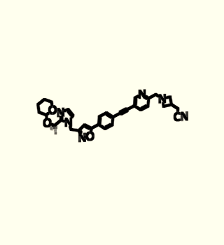 C[C@H](OC1CCCCO1)c1nccn1Cc1cc(-c2ccc(C#Cc3ccc(CN4CC(CC#N)C4)nc3)cc2)on1